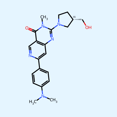 CN(C)c1ccc(-c2cc3nc(N4CC[C@H](CO)C4)n(C)c(=O)c3cn2)cc1